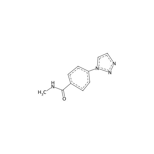 CNC(=O)c1ccc(-n2ccnn2)cc1